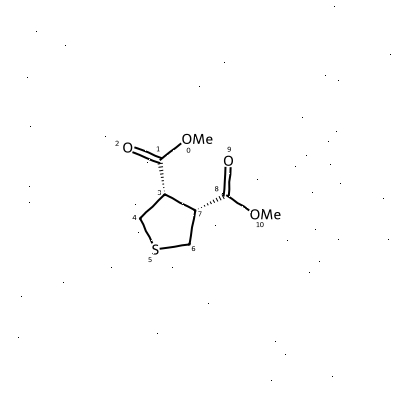 COC(=O)[C@H]1CSC[C@H]1C(=O)OC